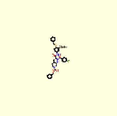 COc1cc(NC(=O)[C@H](CC2CCN(C(=O)OCc3ccccc3)CC2)NC(=O)c2ccc(F)cc2)ccc1SCc1ccccc1